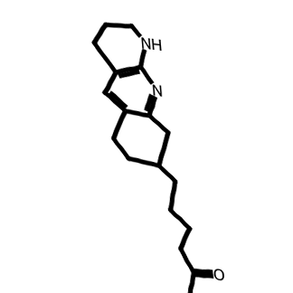 O=C(O)CCCCC1CCc2cc3c(nc2C1)NCCC3